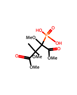 COC(=O)C(C)(OC)C(OC)(C(=O)OC)P(=O)(O)O